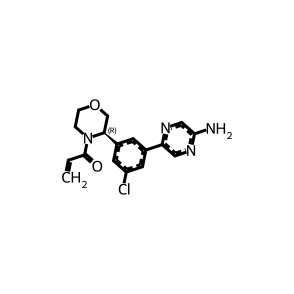 C=CC(=O)N1CCOC[C@H]1c1cc(Cl)cc(-c2cnc(N)cn2)c1